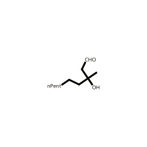 CCCCCCCC(C)(O)CC=O